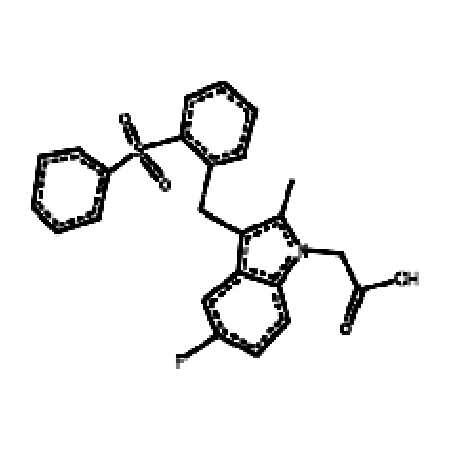 Cc1c(Cc2ccccc2S(=O)(=O)c2ccccc2)c2cc(F)ccc2n1CC(=O)O